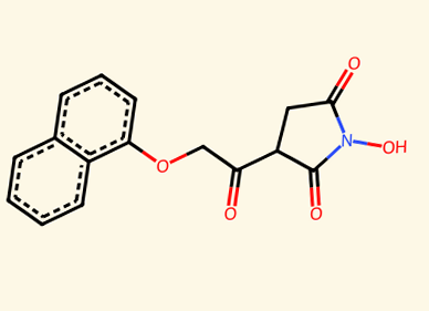 O=C(COc1cccc2ccccc12)C1CC(=O)N(O)C1=O